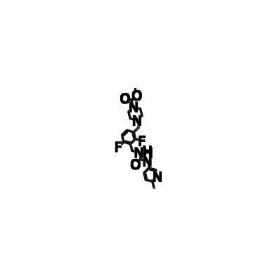 COC(=O)N1CCN(Cc2ccc(F)c(CNC(=O)Nc3ccc(C)nc3)c2F)CC1